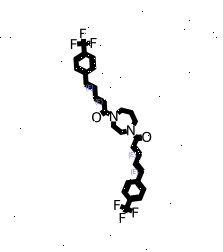 O=C(/C=C/C=C/c1ccc(C(F)(F)F)cc1)N1CCCN(C(=O)/C=C/C=C/c2ccc(C(F)(F)F)cc2)CC1